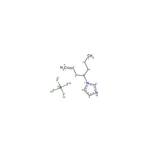 C=CCC(CCC)n1ccnc1.F[B-](F)(F)F